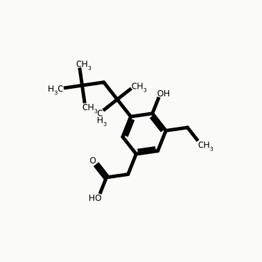 CCc1cc(CC(=O)O)cc(C(C)(C)CC(C)(C)C)c1O